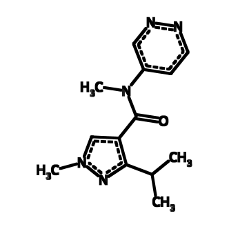 CC(C)c1nn(C)cc1C(=O)N(C)c1ccnnc1